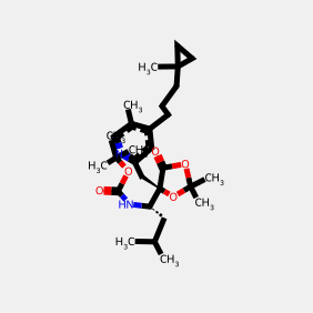 Cc1cnc(C[C@]2([C@H](CC(C)C)NC(=O)OC(C)(C)C)OC(C)(C)OC2=O)cc1CCCC1(C)CC1